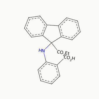 CCOC(=O)C1(Nc2ccccc2C(=O)O)c2ccccc2-c2ccccc21